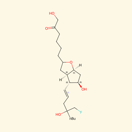 CCCCC(O)(CF)C/C=C/[C@@H]1[C@H]2CC(CCCCC(=O)CO)O[C@H]2C[C@H]1O